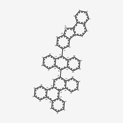 c1ccc2c(c1)ccc1c3cc(-c4c5ccccc5c(-c5cc6c7ccccc7c7ccccc7c6c6ccccc56)c5ccccc45)ccc3oc21